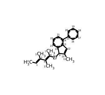 C/C=C(C)/C(C)=[C](\C)[Zr][CH]1C(C)=Cc2c(-c3ccccc3)cccc21